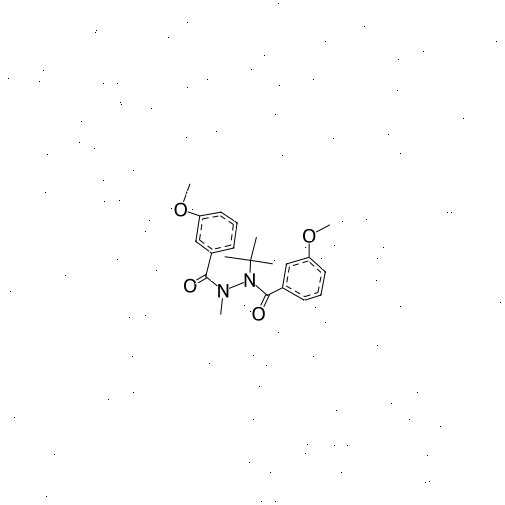 COc1cccc(C(=O)N(C)N(C(=O)c2cccc(OC)c2)C(C)(C)C)c1